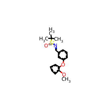 COc1ccccc1Oc1cccc(C=N[S@+]([O-])C(C)(C)C)c1